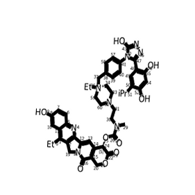 CCc1c2c(nc3ccc(O)cc13)-c1cc3c(c(=O)n1C2)COC(=O)[C@H]3OC(=O)N(C)CCN1CC[N+](CC)(Cc2ccc(-n3c(O)nnc3-c3cc(C(C)C)c(O)cc3O)cc2)CC1